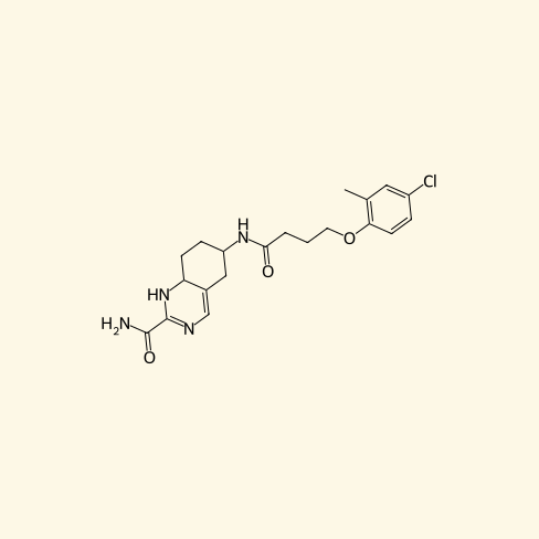 Cc1cc(Cl)ccc1OCCCC(=O)NC1CCC2NC(C(N)=O)=NC=C2C1